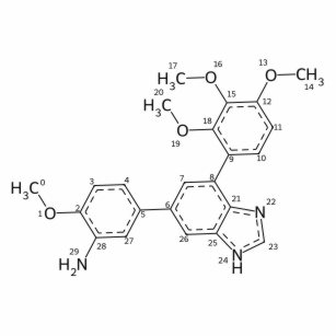 COc1ccc(-c2cc(-c3ccc(OC)c(OC)c3OC)c3nc[nH]c3c2)cc1N